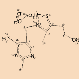 Cc1ncc(C[n+]2csc(CCO)c2C)c(N)n1.O=S(=O)(O)O.[Cl-]